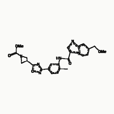 COCc1ccn2c(C(=O)Nc3cc(-c4noc(C5CN(C(=O)OC)C5)n4)ccc3C)cnc2c1